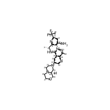 Cc1nnc(N[C@H](C)c2cc(N)cc(C(F)(F)F)n2)c2cc(N3CCN4CCOC[C@@H]4C3)cnc12